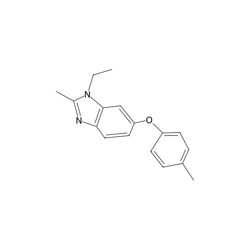 CCn1c(C)nc2ccc(Oc3ccc(C)cc3)cc21